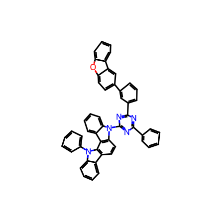 c1ccc(-c2nc(-c3cccc(-c4ccc5oc6ccccc6c5c4)c3)nc(-n3c4ccccc4c4c3ccc3c5ccccc5n(-c5ccccc5)c34)n2)cc1